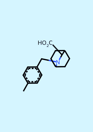 Cc1ccc(CN2C3CCC(CC3)C2C(=O)O)cc1